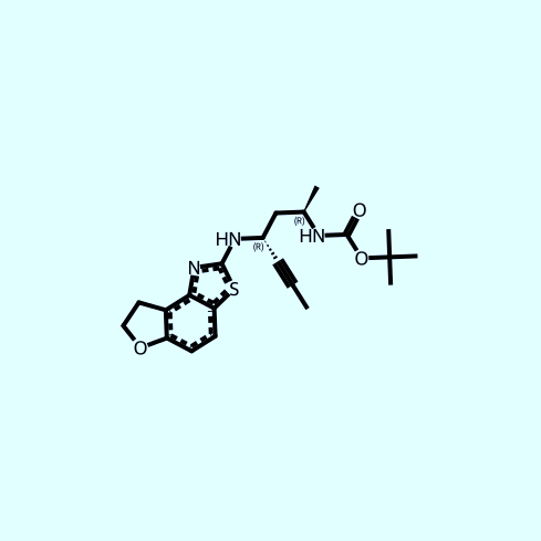 CC#C[C@@H](C[C@@H](C)NC(=O)OC(C)(C)C)Nc1nc2c3c(ccc2s1)OCC3